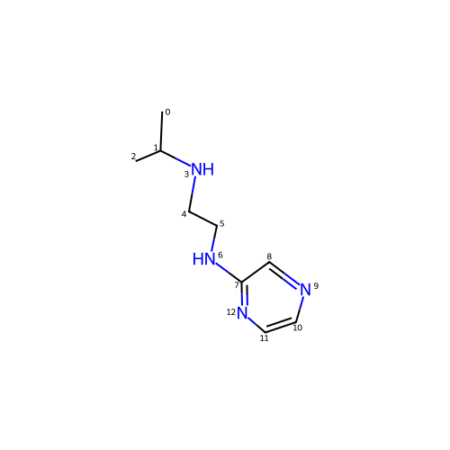 CC(C)NCCNc1cnccn1